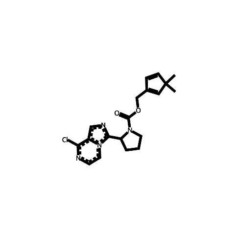 CC1(C)C=CC(COC(=O)N2CCCC2c2ncc3c(Cl)nccn23)=C1